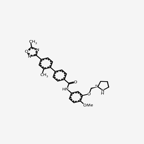 COc1ccc(NC(=O)c2ccc(-c3ccc(-c4noc(C)n4)cc3C)cc2)cc1OC[C@H]1CCCN1